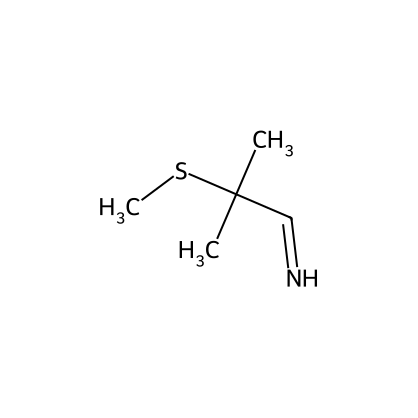 CSC(C)(C)C=N